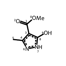 COC(=O)c1c(C)n[nH]c1O